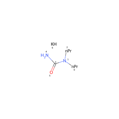 CCCN(CCC)C(N)=O.[KH]